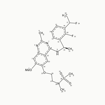 COc1cc2nc(C)nc(N[C@H](C)c3cccc(C(C)F)c3F)c2cc1OCCN(C)S(C)(=O)=O